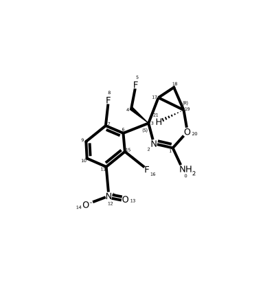 NC1=N[C@](CF)(c2c(F)ccc([N+](=O)[O-])c2F)C2C[C@H]2O1